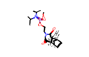 COP(OCCN1C(=O)[C@@H]2[C@H](C1=O)[C@@]1(C)C=C[C@]2(C)C1)N(C(C)C)C(C)C